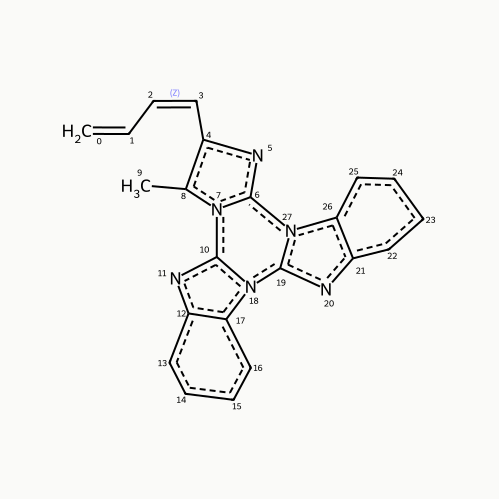 C=C/C=C\c1nc2n(c1C)c1nc3ccccc3n1c1nc3ccccc3n21